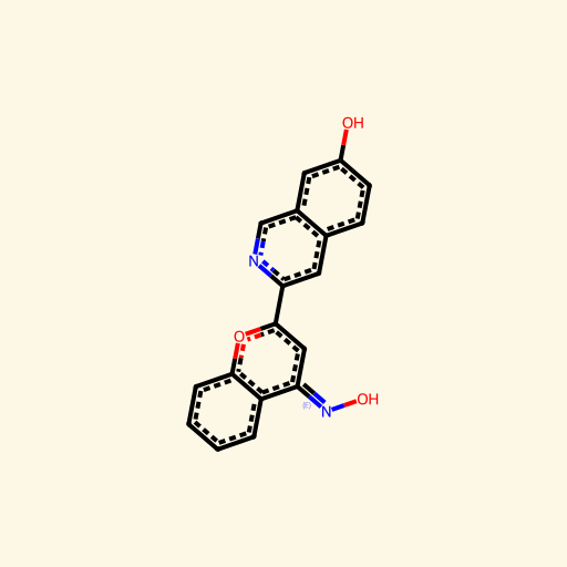 O/N=c1\cc(-c2cc3ccc(O)cc3cn2)oc2ccccc12